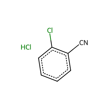 Cl.N#Cc1ccccc1Cl